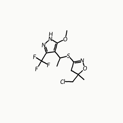 COc1[nH]nc(C(F)(F)F)c1C(C)SC1=NOC(C)(CCl)C1